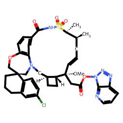 CO[C@@]1(CC(=O)On2nnc3cccnc32)/C=C/C[C@H](C)[C@@H](C)S(=O)(=O)NC(=O)c2ccc3c(c2)N(C[C@@H]2CC[C@H]21)C[C@@]1(CCCc2cc(Cl)ccc21)CO3